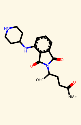 CNC(=O)CCC(C=O)N1C(=O)c2cccc(NC3CCNCC3)c2C1=O